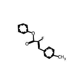 Cc1ccc(/C=C(\F)C(=O)Oc2ccccc2)cc1